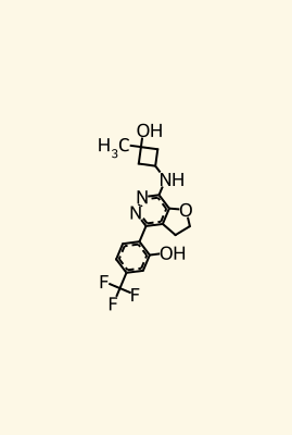 CC1(O)CC(Nc2nnc(-c3ccc(C(F)(F)F)cc3O)c3c2OCC3)C1